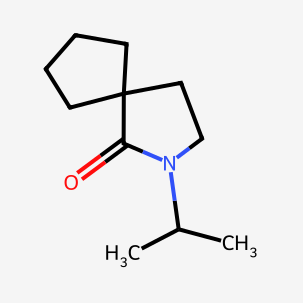 CC(C)N1CCC2(CCCC2)C1=O